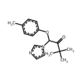 Cc1ccc(OC(C(=O)C(C)(C)C)n2ccnc2)cc1